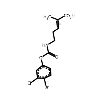 C/C(=C\CCNC(=O)Oc1ccc(Br)c(Cl)c1)C(=O)O